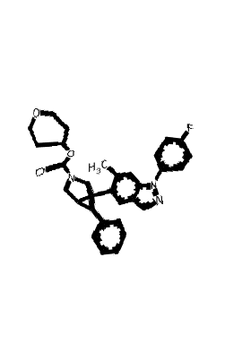 Cc1cc2c(cnn2-c2ccc(F)cc2)cc1C12CN(C(=O)OC3CCOCC3)CC1C2c1ccccc1